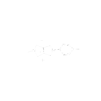 CN1C[C@@H]2CN(c3ccc(F)cc3)C[C@@H]2C1